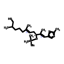 C/C(=C\C[C@H](O[Si](C)(C)C(C)(C)C)/C(C)=C/c1csc(C)n1)CCCC(C)CO